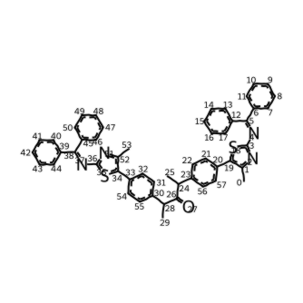 Cc1nc(N=C(c2ccccc2)c2ccccc2)sc1-c1ccc(C(C)C(=O)C(C)c2ccc(-c3sc(N=C(c4ccccc4)c4ccccc4)nc3C)cc2)cc1